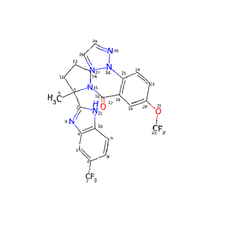 CC1(c2nc3cc(C(F)(F)F)ccc3[nH]2)CCCN1C(=O)c1cc(OC(F)(F)F)ccc1-n1nccn1